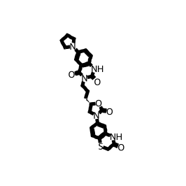 O=C1CSc2ccc(N3C[C@H](CCCn4c(=O)[nH]c5ccc(N6CCCC6)cc5c4=O)OC3=O)cc2N1